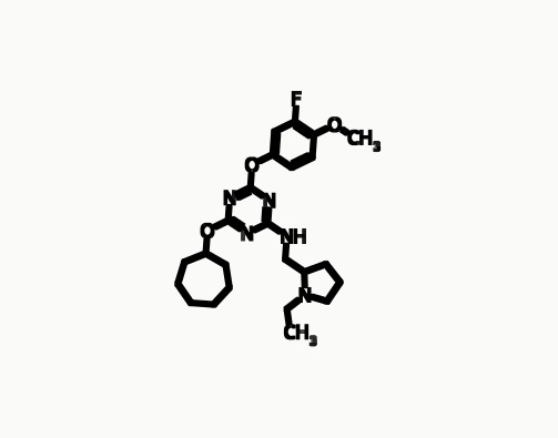 CCN1CCCC1CNc1nc(Oc2ccc(OC)c(F)c2)nc(OC2CCCCCC2)n1